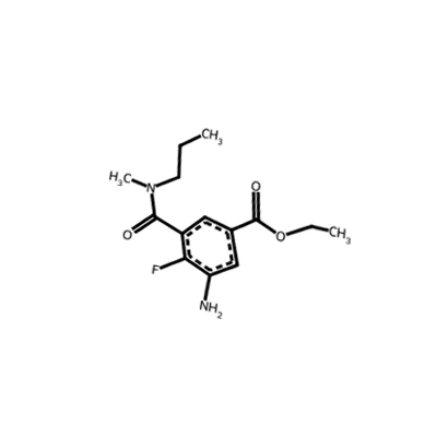 CCCN(C)C(=O)c1cc(C(=O)OCC)cc(N)c1F